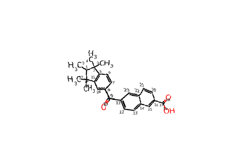 CC1C(C)(C)c2ccc(C(=O)c3ccc4cc(C(=O)O)ccc4c3)cc2C1(C)C